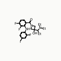 CCC(N(CC)CC)C1(O)CN(C(=O)c2ccc(F)c(F)c2Nc2ccc(I)cc2F)C1